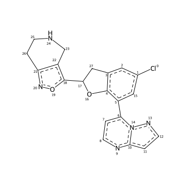 Clc1cc2c(c(-c3ccnc4ccnn34)c1)OC(c1onc3c1CNCC3)C2